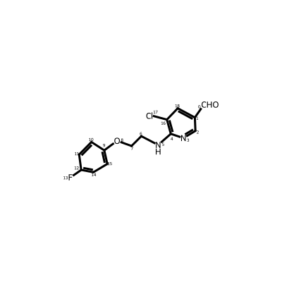 O=Cc1cnc(NCCOc2ccc(F)cc2)c(Cl)c1